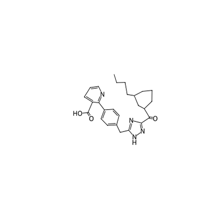 CCCCC1CCCC(C(=O)c2n[nH]c(Cc3ccc(-c4ncccc4C(=O)O)cc3)n2)C1